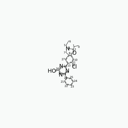 CCC(=O)N(CC)Cc1ccc(Cl)c(-c2nc(O)nc(-c3ccccc3)n2)c1